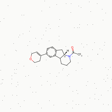 O=C(N1CCCC2c3cc(C4=CCOCC4)ccc3C[C@@H]21)C(F)(F)F